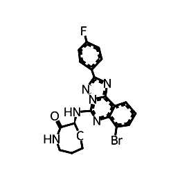 O=C1NCCCC[C@@H]1Nc1nc2c(Br)cccc2c2nc(-c3ccc(F)cc3)nn12